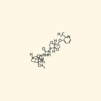 Cc1ncccc1O[C@H]1CO[C@H]2[C@@H]1OC[C@@H]2NC(=O)NC[C@H]1C[C@H]2CC([C@@H]1C)C2(C)C